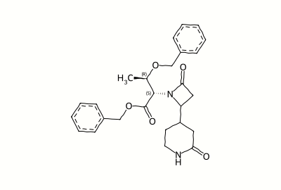 C[C@@H](OCc1ccccc1)[C@@H](C(=O)OCc1ccccc1)N1C(=O)CC1C1CCNC(=O)C1